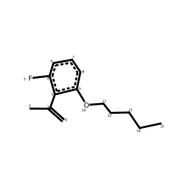 C=C(C)c1c(F)cccc1OCCCCC